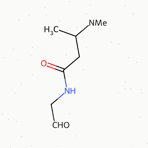 CNC(C)CC(=O)NCC=O